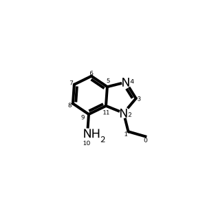 CCn1cnc2cccc(N)c21